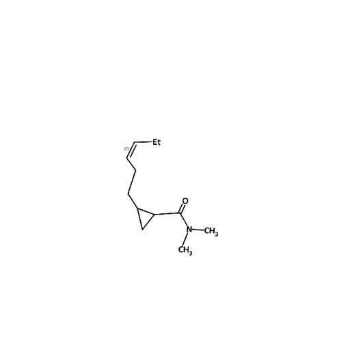 CC/C=C\CCC1CC1C(=O)N(C)C